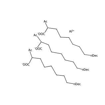 CCCCCCCCCCCCCCCCC(C(C)=O)C(=O)[O-].CCCCCCCCCCCCCCCCC(C(C)=O)C(=O)[O-].CCCCCCCCCCCCCCCCC(C(C)=O)C(=O)[O-].[Al+3]